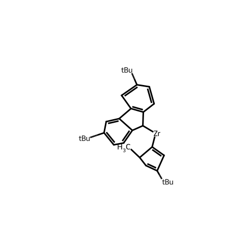 CC1C=C(C(C)(C)C)C=[C]1[Zr][CH]1c2ccc(C(C)(C)C)cc2-c2cc(C(C)(C)C)ccc21